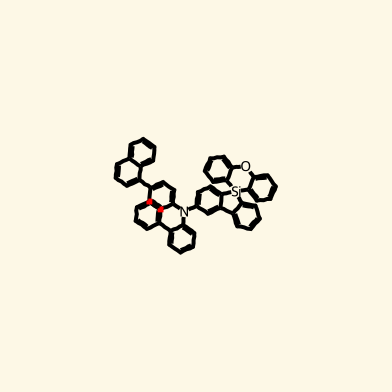 c1ccc(-c2ccccc2N(c2ccc(-c3cccc4ccccc34)cc2)c2ccc3c(c2)-c2ccccc2[Si]32c3ccccc3Oc3ccccc32)cc1